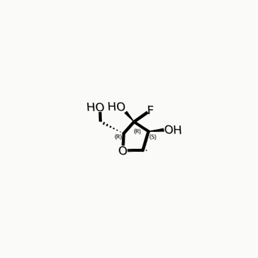 OC[C@H]1O[CH][C@H](O)[C@@]1(O)F